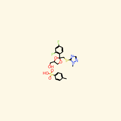 Cc1ccc(S(=O)(=O)O)cc1.Cn1ncnc1SCC1(c2ccc(F)cc2F)OCC(CO)O1